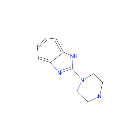 c1ccc2[nH]c(N3CC[N]CC3)nc2c1